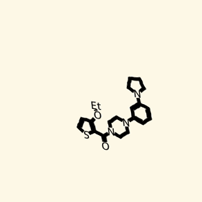 CCOc1ccsc1C(=O)N1CCN(c2cccc(N3CCCC3)c2)CC1